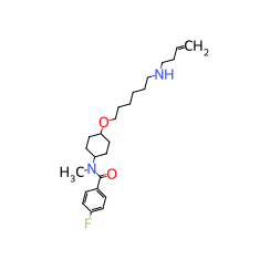 C=CCCNCCCCCCOC1CCC(N(C)C(=O)c2ccc(F)cc2)CC1